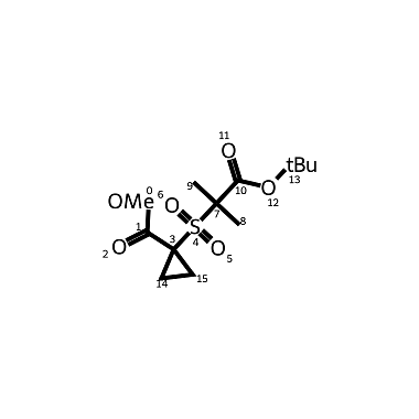 COC(=O)C1(S(=O)(=O)C(C)(C)C(=O)OC(C)(C)C)CC1